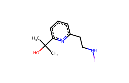 CC(C)(O)c1cccc(CCNI)n1